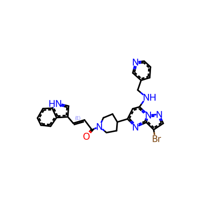 O=C(/C=C/c1c[nH]c2ccccc12)N1CCC(c2cc(NCc3cccnc3)n3ncc(Br)c3n2)CC1